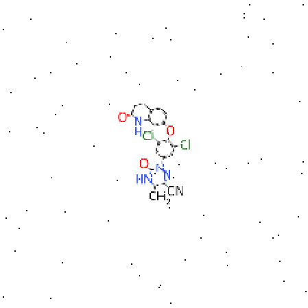 C=C1NC(=O)N(c2cc(Cl)c(Oc3ccc4c(c3)NC(=O)CC4)c(Cl)c2)N=C1C#N